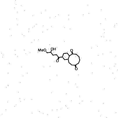 COCC(O)CCC(=O)C1CCC2C(=O)CCCCC(=O)CCC2C1